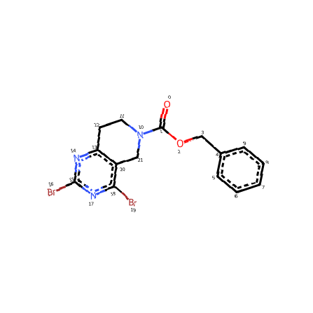 O=C(OCc1ccccc1)N1CCc2nc(Br)nc(Br)c2C1